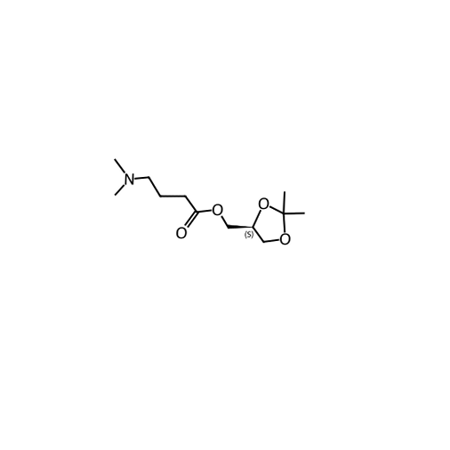 CN(C)CCCC(=O)OC[C@@H]1COC(C)(C)O1